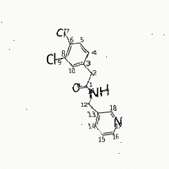 O=C(Cc1ccc(Cl)c(Cl)c1)NCc1cccnc1